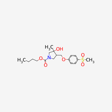 CCCCOC(=O)N1CC(COc2ccc(S(C)(=O)=O)cc2)C(C)(O)C1